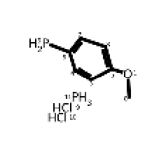 COc1ccc(P)cc1.Cl.Cl.P